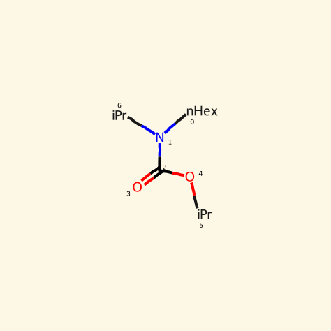 CCCCCCN(C(=O)OC(C)C)C(C)C